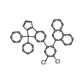 Clc1cc(-c2ccc3c(c2)C(c2ccccc2)(c2ccccc2)C2=C3C=C=C2)c(-c2cc3ccccc3c3ccccc23)cc1Cl